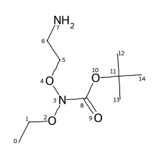 CCON(OCCN)C(=O)OC(C)(C)C